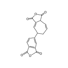 O=C1OC(=O)C2C=CCC(c3ccc4c(c3)C(=O)OC4=O)C=C12